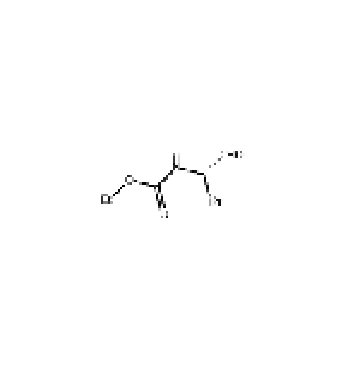 CCOC(=O)N[C@H]([C]=O)C(C)C